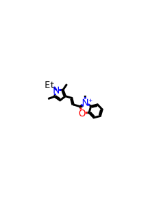 CCn1c(C)cc(C=Cc2oc3ccccc3[n+]2C)c1C